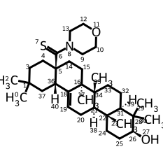 CC1(C)CC[C@]2(C(=S)N3CCOCC3)CC[C@]3(C)C(=CC[C@@H]4[C@@]5(C)CC[C@H](O)C(C)(C)[C@@H]5CC[C@]43C)[C@@H]2C1